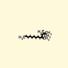 CCCCCCC[CH]CC(C)CC(C)(C)C